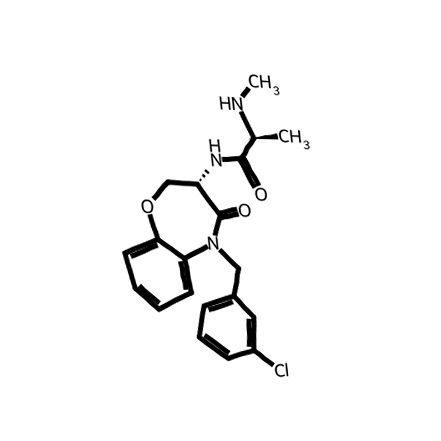 CN[C@@H](C)C(=O)N[C@H]1COc2ccccc2N(Cc2cccc(Cl)c2)C1=O